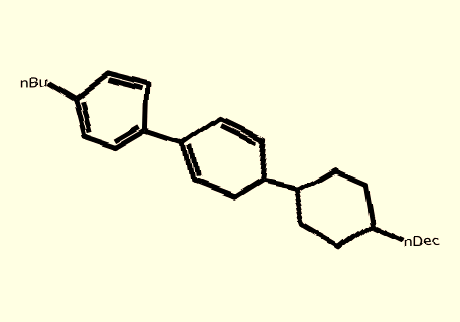 CCCCCCCCCCC1CCC(C2C=CC(c3ccc(CCCC)cc3)=CC2)CC1